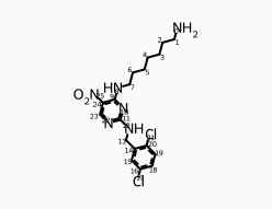 NCCCCCCCNc1nc(NCc2cc(Cl)ccc2Cl)ncc1[N+](=O)[O-]